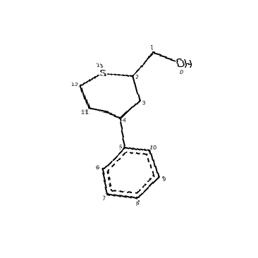 OCC1CC(c2ccccc2)CCS1